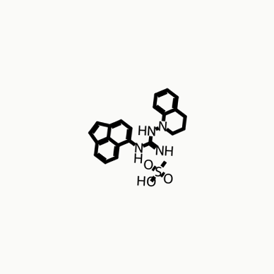 CS(=O)(=O)O.N=C(Nc1ccc2c3c(cccc13)C=C2)NN1CCCc2ccccc21